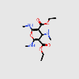 CCOC(=O)C1=C(NC)OC(NC)=C(C(=O)OCC)C1NC